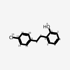 Oc1ccccc1CCc1ccc(Cl)cc1